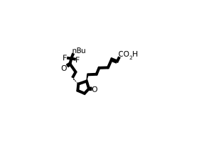 CCCCC(F)(F)C(=O)CC[C@H]1CCC(=O)[C@@H]1CCCC/C=C/C(=O)O